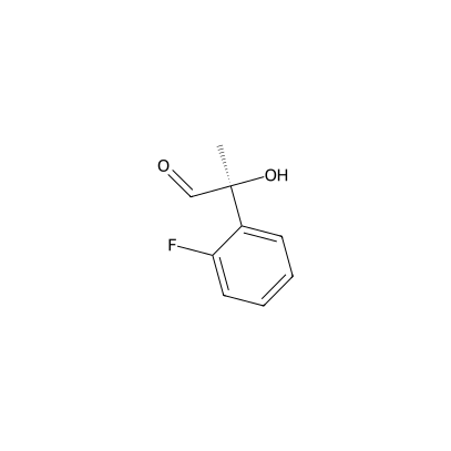 C[C@@](O)(C=O)c1ccccc1F